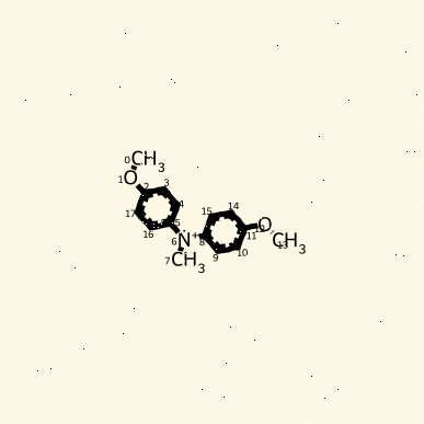 COc1ccc([N+](C)c2ccc(OC)cc2)cc1